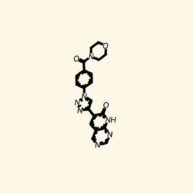 O=C(c1ccc(-n2cc(-c3cc4cncnc4[nH]c3=O)nn2)cc1)N1CCOCC1